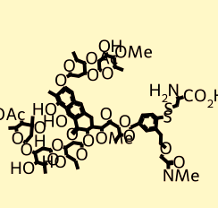 CNC(=O)COCCc1cc(C2OC(C)C(C(=O)C(OC)C3Cc4cc5cc(OC6CC(OC7CC(O)C(OC)C(C)O7)C(OC(C)=O)C(C)O6)c(C)c(O)c5c(O)c4C(=O)C3OC3CC(OC4CC(OC5CC(C)(O)C(OC(C)=O)C(C)O5)C(O)C(C)O4)C(O)C(C)O3)O2)ccc1SSCC(N)C(=O)O